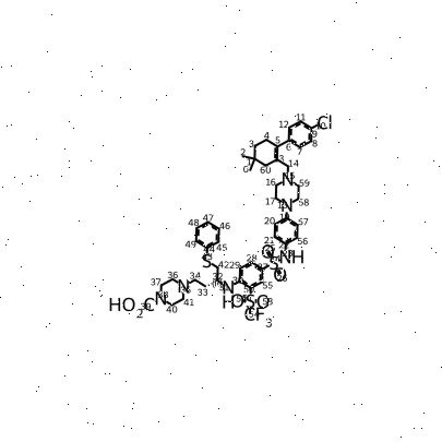 CC1(C)CCC(c2ccc(Cl)cc2)=C(CN2CCN(c3ccc(NS(=O)(=O)c4ccc(N[C@H](CCN5CCN(C(=O)O)CC5)CSc5ccccc5)c(S(=O)(=O)C(F)(F)F)c4)cc3)CC2)C1